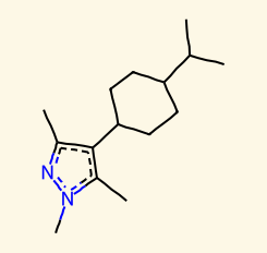 Cc1nn(C)c(C)c1C1CCC(C(C)C)CC1